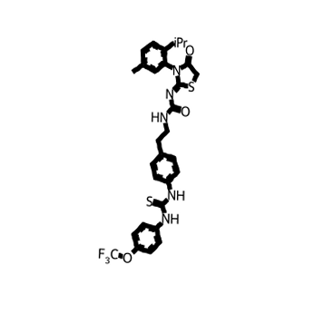 Cc1ccc(C(C)C)c(N2C(=O)CS/C2=N\C(=O)NCCc2ccc(NC(=S)Nc3ccc(OC(F)(F)F)cc3)cc2)c1